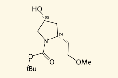 COCC[C@H]1C[C@@H](O)CN1C(=O)OC(C)(C)C